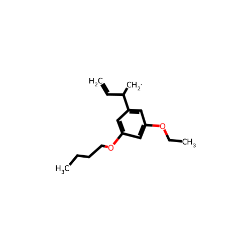 [CH2]C(C=C)c1cc(OCC)cc(OCCCC)c1